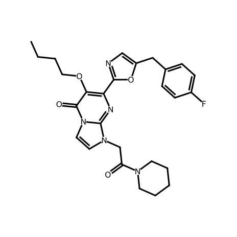 CCCCOc1c(-c2ncc(Cc3ccc(F)cc3)o2)nc2n(CC(=O)N3CCCCC3)ccn2c1=O